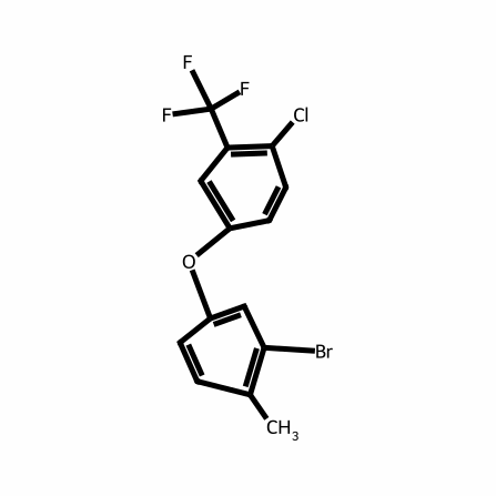 Cc1ccc(Oc2ccc(Cl)c(C(F)(F)F)c2)cc1Br